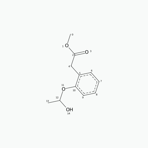 COC(=O)Cc1ccccc1OC(C)O